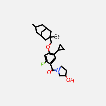 CCC1(COc2cc(F)c(C(=O)N3CCC(O)C3)cc2C2CC2)CC2CC(C)CC(C2)C1